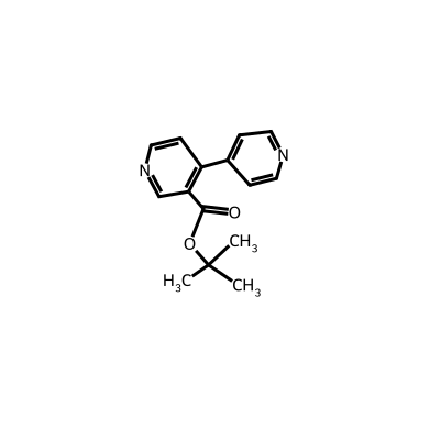 CC(C)(C)OC(=O)c1cnccc1-c1ccncc1